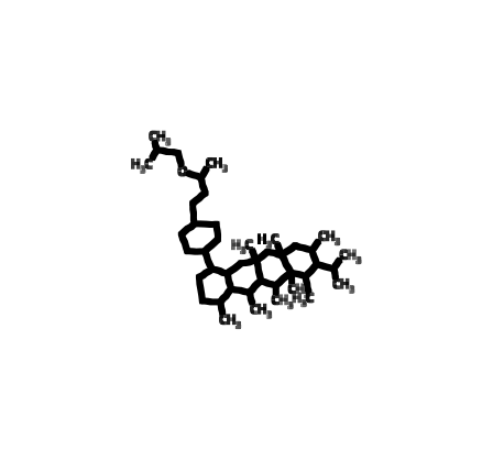 CC(C)COC(C)CCC1CCC(C2CCC(C)C3C(C)C4C(C)C5(C)C(C)C(C(C)C)C(C)CC5(C)CC4(C)CC23)CC1